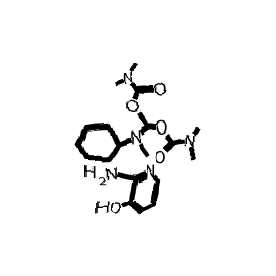 CN(C)C(=O)OC(OC(=O)N(C)C)N(C)C1CCCCC1.Nc1ncccc1O